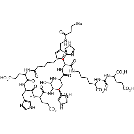 CC(C)(C)CCC(=O)NCc1cn(CCCCC(=O)NC(CCC(=O)O)C(=O)NC(Cc2c[nH]cn2)C(=O)NC(CCC(=O)O)C(=O)NC(Cc2c[nH]cn2)C(O)NC(CCC(=O)O)C(=O)NC(Cc2c[nH]cn2)C(=O)NCCCCC(NC(=O)NC(CCC(=O)O)C(=O)O)C(=O)O)nn1